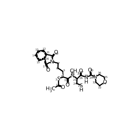 CC(=O)S[C@@H](CCCN1C(=O)c2ccccc2C1=O)C(=O)N(C)C(CS)C(=O)NC(=O)N1CCOCC1